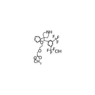 COC(=O)COCCOC(c1cc(C(F)(F)F)cc(C(F)(F)F)c1)C1(c2ccccc2)CCNCC1.Cl